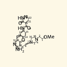 COCCN1CCN(C#CCc2c(Oc3ccc(NC(=O)c4ccn[nH]c4=O)cc3F)ccnc2N)CC1